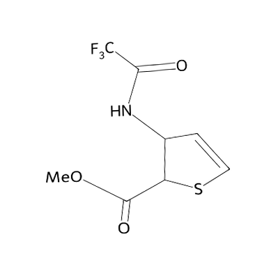 COC(=O)C1SC=CC1NC(=O)C(F)(F)F